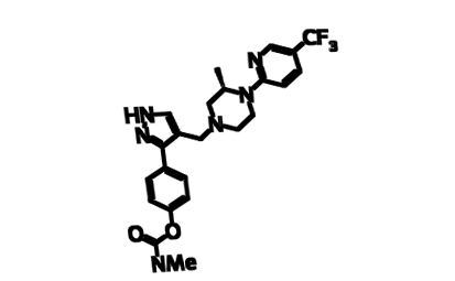 CNC(=O)Oc1ccc(-c2n[nH]cc2CN2CCN(c3ccc(C(F)(F)F)cn3)[C@H](C)C2)cc1